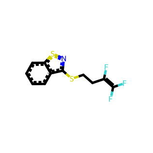 FC(F)=C(F)CCSc1nsc2ccccc12